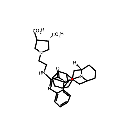 O=C(O)C1CN(CCNc2nc3ccccc3n([C@H]3CC4CCC[C@@H](C3)N4C34CC5CC(CC3C5)C4)c2=O)C[C@H]1C(=O)O